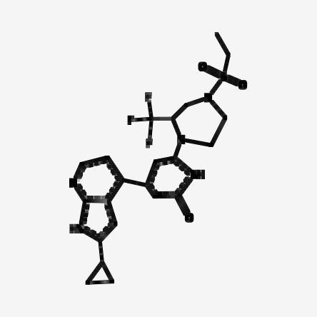 CCS(=O)(=O)N1CCN(c2cc(-c3ccnc4[nH]c(C5CC5)cc34)cc(=O)[nH]2)C(C(F)(F)F)C1